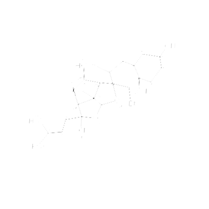 CCC1C2(C)CCC(O)CC2CC(Br)C12OC1OC(C)(CCC(C)C(C)C)C3CC(O)C2C13C